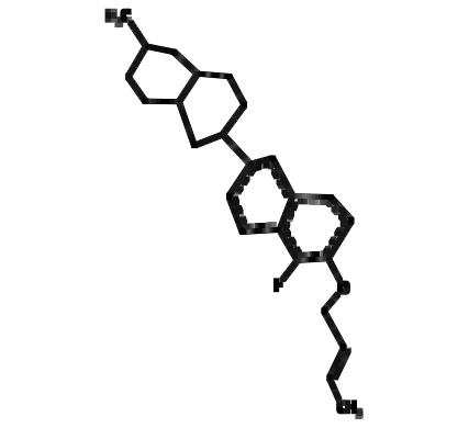 CC=CCOc1ccc2cc(C3CCC4CC(C)CCC4C3)ccc2c1F